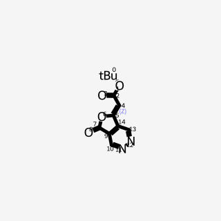 CC(C)(C)OC(=O)/C=C1\OC(=O)c2cnncc21